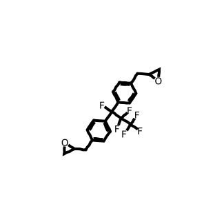 FC(F)(F)C(F)(F)C(F)(c1ccc(CC2CO2)cc1)c1ccc(CC2CO2)cc1